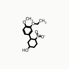 CCOc1cc(C2CC(O)CCC2[N+](=O)[O-])ccc1OC